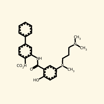 CN(C)CCCN(C)c1ccc(O)c(C(=O)Nc2cc(-c3ccccc3)ccc2C(=O)O)c1